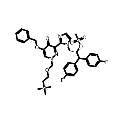 C[Si](C)(C)CCOCn1cc(OCc2ccccc2)c(=O)c(-c2nccn2C[C@H](OS(C)(=O)=O)C(c2ccc(F)cc2)c2ccc(F)cc2)n1